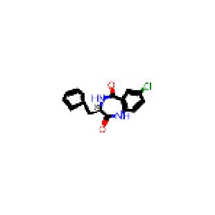 O=C1N[C@H](Cc2ccccc2)C(=O)Nc2ccc(Cl)cc21